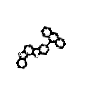 c1ccc2c(-c3ccc4oc5c(ccc6oc7ccccc7c65)c4c3)c3ccccc3cc2c1